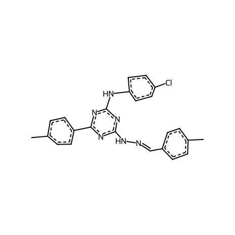 Cc1ccc(C=NNc2nc(Nc3ccc(Cl)cc3)nc(-c3ccc(C)cc3)n2)cc1